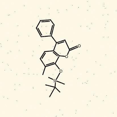 Cc1ccc2c(-c3ccccc3)cc(=O)oc2c1O[Si](C)(C)C(C)(C)C